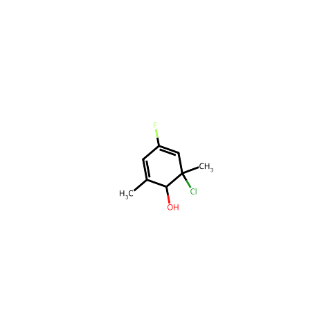 CC1=CC(F)=CC(C)(Cl)C1O